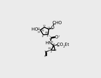 C=C[C@@H]1C[C@]1(NC(=O)[C@@H]1C[C@H](O)CC1OC=O)C(=O)OCC